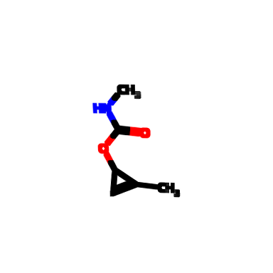 CNC(=O)OC1C=C1C